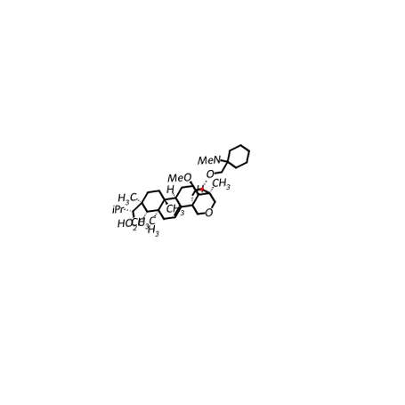 CNC1(CO[C@H]2[C@H](OC)C[C@@]34COC[C@@]2(C)[C@@H]3CC[C@H]2C4=CC[C@@]3(C)[C@H](C(=O)O)[C@@](C)([C@H](C)C(C)C)CC[C@]23C)CCCCC1